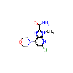 Cn1c(C(N)=O)nc2c(N3CCOCC3)cc(Cl)nc21